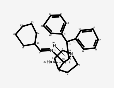 C(=N[C@@H]1C2CCN(CC2)[C@@H]1C(c1ccccc1)c1ccccc1)C1CCCCC1